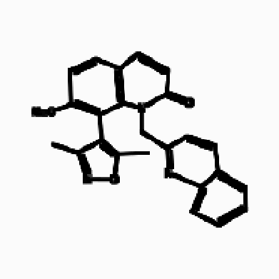 COc1ccc2ccc(=O)n(Cc3ccc4ccccc4n3)c2c1-c1c(C)noc1C